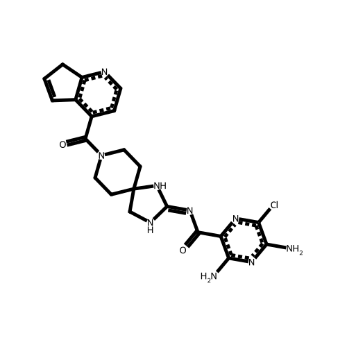 Nc1nc(N)c(C(=O)/N=C2\NCC3(CCN(C(=O)c4ccnc5c4C=CC5)CC3)N2)nc1Cl